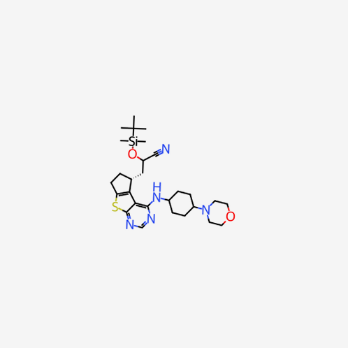 CC(C)(C)[Si](C)(C)OC(C#N)C[C@H]1CCc2sc3ncnc(NC4CCC(N5CCOCC5)CC4)c3c21